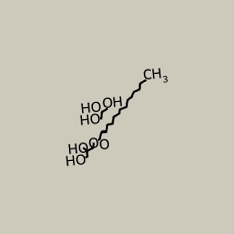 CCCCCCCCCCCCCC=CC(=O)OCC(O)CO.OCC(O)CO